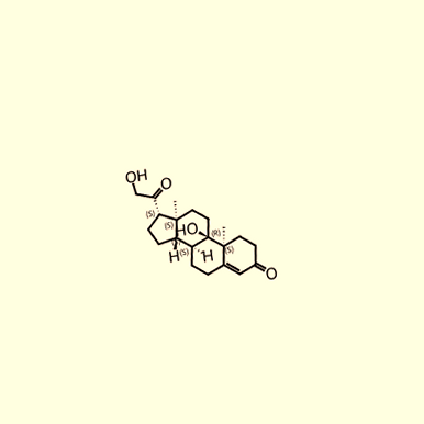 C[C@]12CC[C@@]3(O)[C@@H](CCC4=CC(=O)CC[C@@]43C)[C@@H]1CC[C@@H]2C(=O)CO